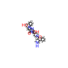 O=C([C@@H]1CCNC[C@H]1c1ccccc1)N1CCC(O)(Cn2cnc3c(cc(CO)n3-c3ccccc3)c2=O)CC1